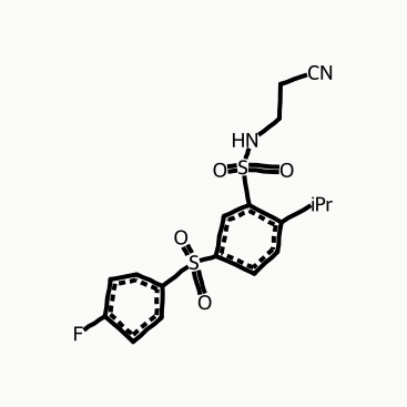 CC(C)c1ccc(S(=O)(=O)c2ccc(F)cc2)cc1S(=O)(=O)NCCC#N